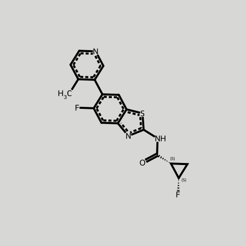 Cc1ccncc1-c1cc2sc(NC(=O)[C@@H]3C[C@@H]3F)nc2cc1F